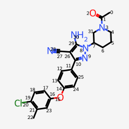 CC(=O)N1CCCC(n2nc(-c3ccc(Oc4ccc(Cl)c(C)c4)cc3)c(C#N)c2N)C1